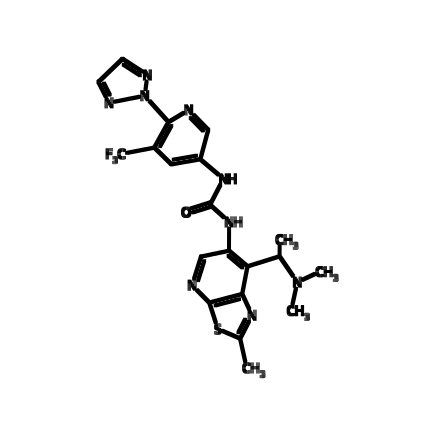 Cc1nc2c(C(C)N(C)C)c(NC(=O)Nc3cnc(-n4nccn4)c(C(F)(F)F)c3)cnc2s1